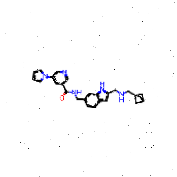 O=C(NCc1ccc2cc(CNCC34CC(C3)C4)[nH]c2c1)c1cncc(-n2cccc2)c1